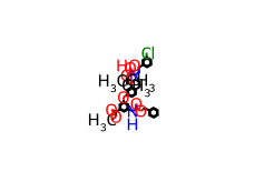 COC(=O)c1cc(NC(=O)OCc2ccccc2)cc(Oc2ccc3c(c2)C[C@@H](N(C[C@H](O)c2cccc(Cl)c2)C(=O)OC(C)(C)C)CC3)c1